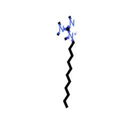 CCCCCCCCCCC[N+](C)(C)C(=NC)N(C)C